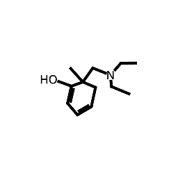 CCN(CC)CC1(C)CC=CC=C1O